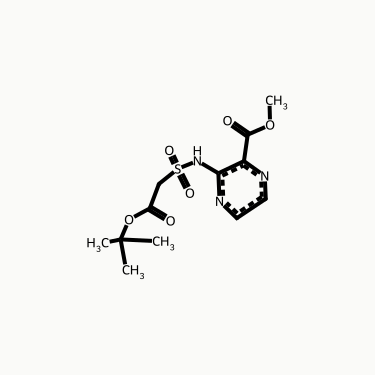 COC(=O)c1nccnc1NS(=O)(=O)CC(=O)OC(C)(C)C